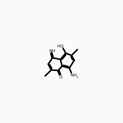 CC1=CC(=N)c2c(O)c(C)cc(N)c2C1=O